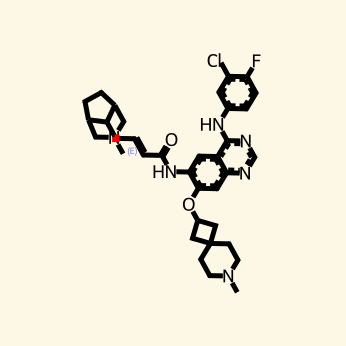 CN1CCC2(CC1)CC(Oc1cc3ncnc(Nc4ccc(F)c(Cl)c4)c3cc1NC(=O)/C=C/CC1C3CCC1CN(C)C3)C2